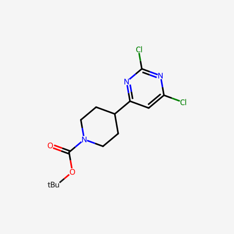 CC(C)(C)OC(=O)N1CCC(c2cc(Cl)nc(Cl)n2)CC1